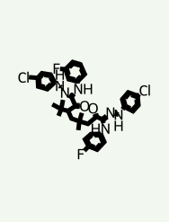 CC(C)(CC(=O)C(=NNc1ccc(Cl)cc1)Nc1ccc(F)cc1)CC(C(=O)C(=NNc1ccc(Cl)cc1)Nc1cccc(F)c1)C(C)(C)C